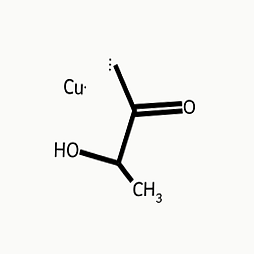 [C]C(=O)C(C)O.[Cu]